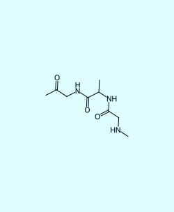 CNCC(=O)NC(C)C(=O)NCC(C)=O